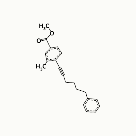 COC(=O)c1ccc(C#CCCCCc2ccccc2)c(C)c1